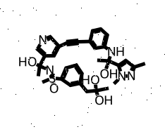 Cc1cc(C(C)(O)Nc2cccc(C#Cc3cncc(C(C)(O)N=S(C)(=O)c4cccc(CC(C)(O)O)c4)c3)c2)n(C)n1